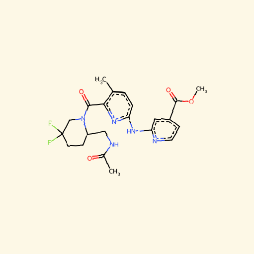 COC(=O)c1ccnc(Nc2ccc(C)c(C(=O)N3CC(F)(F)CCC3CNC(C)=O)n2)c1